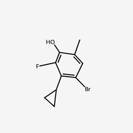 Cc1cc(Br)c(C2CC2)c(F)c1O